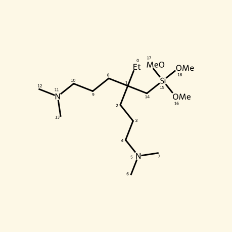 CCC(CCCN(C)C)(CCCN(C)C)C[Si](OC)(OC)OC